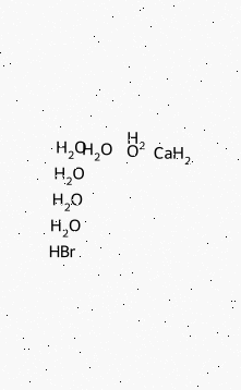 Br.O.O.O.O.O.O.[CaH2]